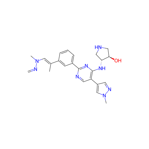 C=NN(C)/C=C(\C)c1cccc(-c2ncc(-c3cnn(C)c3)c(N[C@@H]3CNC[C@H]3O)n2)c1